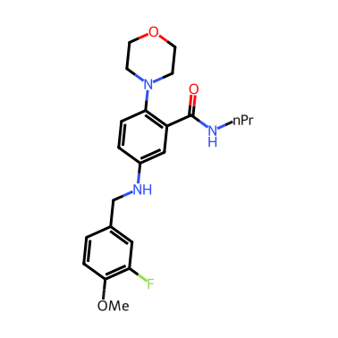 CCCNC(=O)c1cc(NCc2ccc(OC)c(F)c2)ccc1N1CCOCC1